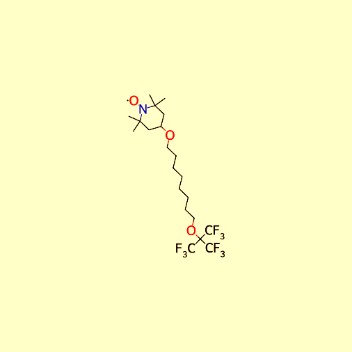 CC1(C)CC(OCCCCCCCCOC(C(F)(F)F)(C(F)(F)F)C(F)(F)F)CC(C)(C)N1[O]